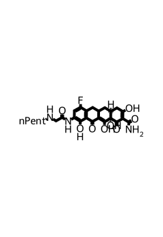 CCCCCNCC(=O)Nc1cc(F)c2c(c1O)C(=O)C1=C(O)[C@]3(O)C(=O)C(C(N)=O)=C(O)C[C@@H]3CC1C2